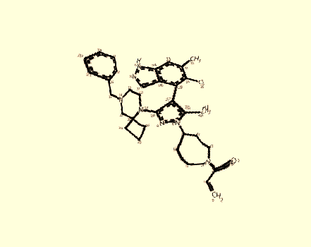 C=CC(=O)N1CCC(n2nc(N3CCN(Cc4ccccc4)CC34CCC4)c(-c3c(Cl)c(C)cc4[nH]ncc34)c2C)CC1